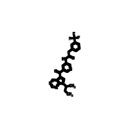 CCC(C)n1cc(C(=O)c2cncc(NC(=O)Cc3cccc(C(F)(F)F)c3)c2)c2cncnc21